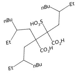 CCCCC(CC)CC(CC(CC)CCCC)(C(=O)O)C(CC(CC)CCCC)(C(=O)O)S(=O)(=O)O